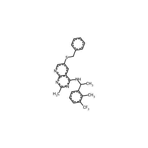 Cc1nc(NC(C)c2cccc(C(F)(F)F)c2C)c2cc(SCc3ccccc3)cnc2n1